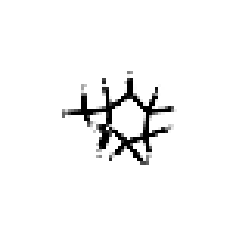 O=C1C(F)(F)C(F)(F)C(F)(F)S(=O)(=O)C1(F)C(F)(F)F